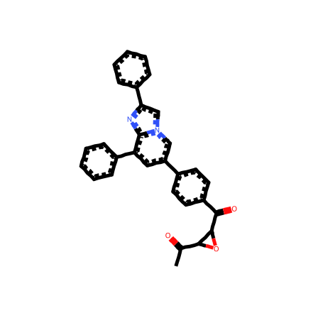 CC(=O)C1OC1C(=O)c1ccc(-c2cc(-c3ccccc3)c3nc(-c4ccccc4)cn3c2)cc1